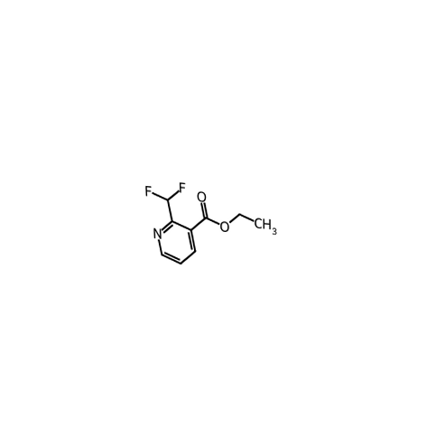 CCOC(=O)c1cccnc1C(F)F